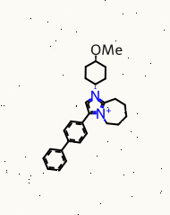 CO[C@H]1CC[C@H](n2cc(-c3ccc(-c4ccccc4)cc3)[n+]3c2CCCCC3)CC1